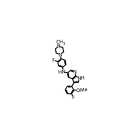 COc1c(F)cccc1-c1c[nH]c2ncc(Nc3ccc(N4CCN(C)CC4)c(F)c3)cc12